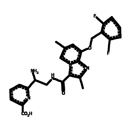 Cc1cc(OCc2c(F)cccc2F)c2nc(C)c(C(=O)NCC(N)c3cccc(C(=O)O)n3)n2c1